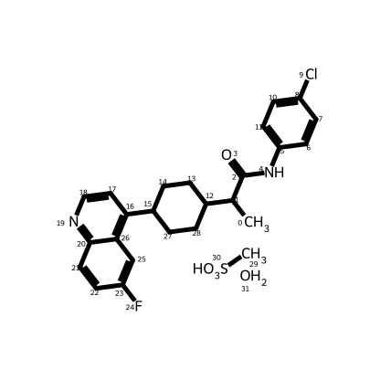 CC(C(=O)Nc1ccc(Cl)cc1)C1CCC(c2ccnc3ccc(F)cc23)CC1.CS(=O)(=O)O.O